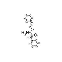 NC(CCOc1ccccc1)C(=O)Nc1ccccc1